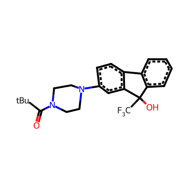 CC(C)(C)C(=O)N1CCN(c2ccc3c(c2)C(O)(C(F)(F)F)c2ccccc2-3)CC1